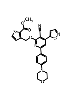 COC(=O)c1sccc1COc1nc(-c2ccc(N3CCOCC3)cc2)cc(-c2ccno2)c1C#N